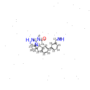 CN1C(=O)CC2(N=C1N)c1cc(-c3cccc(C=N)c3)ccc1CC21CCCCC1